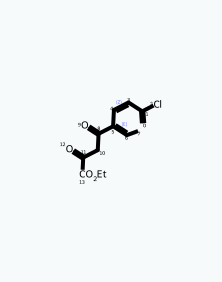 C=C(Cl)/C=C\C(=C/C)C(=O)CC(=O)C(=O)OCC